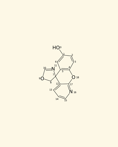 Oc1ccc2c(c1)C1(COC=N1)c1cccnc1O2